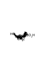 Cc1cc(OCCCO)cc(C)c1-c1cccc(CNc2ccc3c(c2)CC2(CC2)C3CC(=O)O)c1C